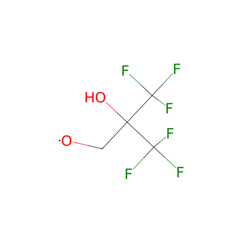 [O]CC(O)(C(F)(F)F)C(F)(F)F